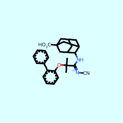 CC(C)(Oc1ccccc1-c1ccccc1)/C(=N/C#N)NC1C2CC3CC1CC(C(=O)O)(C3)C2